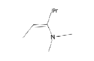 CC=C(C(C)C)N(C)C